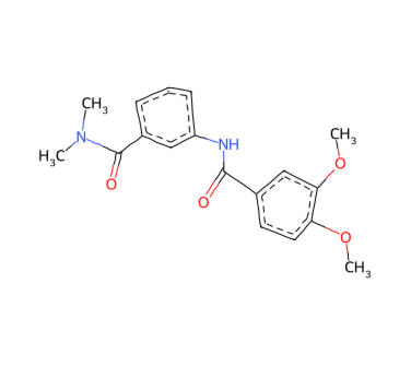 COc1ccc(C(=O)Nc2c[c]cc(C(=O)N(C)C)c2)cc1OC